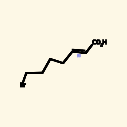 O=C(O)/C=C/CCCCBr